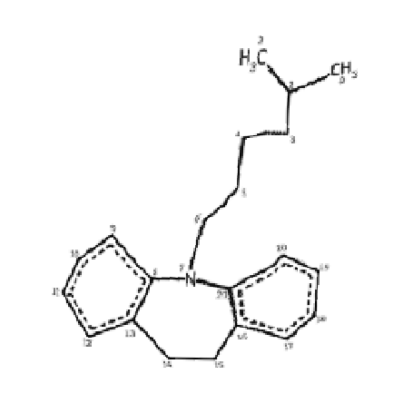 CC(C)CCCCN1c2ccccc2CCc2ccccc21